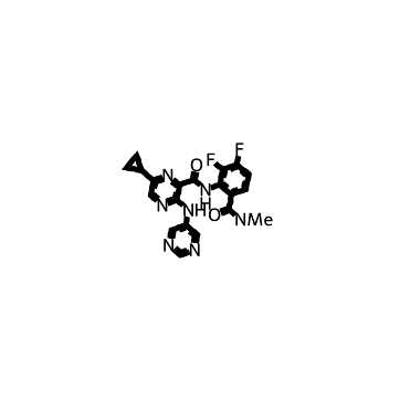 CNC(=O)c1ccc(F)c(F)c1NC(=O)c1nc(C2CC2)cnc1Nc1cncnc1